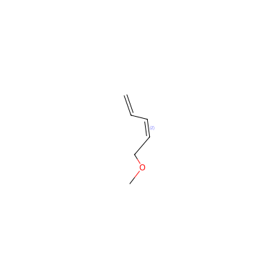 C=C/C=C\COC